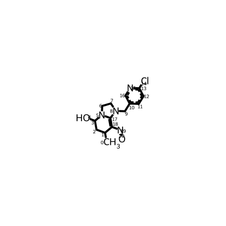 CC1CC(O)N2CCN(Cc3ccc(Cl)nc3)C2=C1N=O